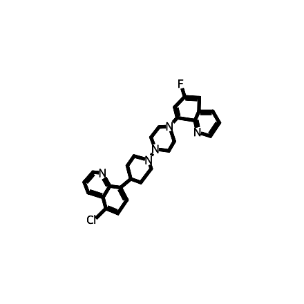 Fc1cc(N2CCN(N3CCC(c4ccc(Cl)c5cccnc45)CC3)CC2)c2ncccc2c1